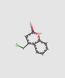 O=c1cc(CCl)c2cc[c]cc2o1